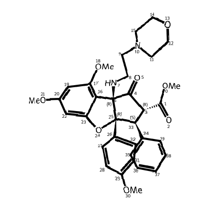 COC(=O)[C@H]1C(=O)[C@@]2(NCCN3CCOCC3)c3c(OC)cc(OC)cc3O[C@@]2(c2ccc(OC)cc2)[C@@H]1c1ccccc1